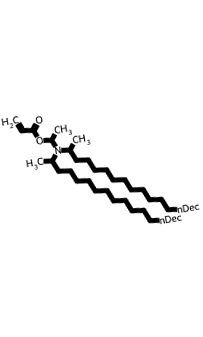 C=CC(=O)OC(C)N(C(C)CCCCCCCCCCCCCCCCCCCCC)C(C)CCCCCCCCCCCCCCCCCCCCC